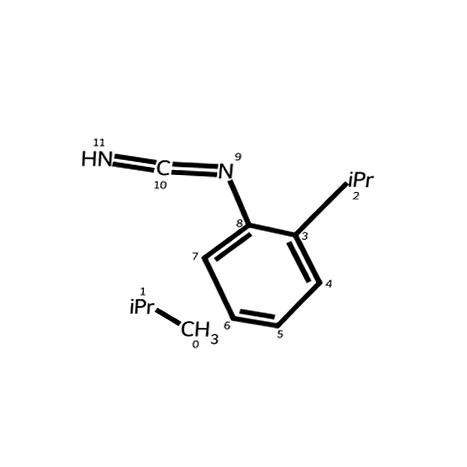 CC(C)C.CC(C)c1ccccc1N=C=N